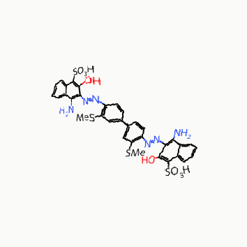 CSc1cc(-c2ccc(/N=N/c3c(O)c(S(=O)(=O)O)c4ccccc4c3N)c(SC)c2)ccc1/N=N/c1c(O)c(S(=O)(=O)O)c2ccccc2c1N